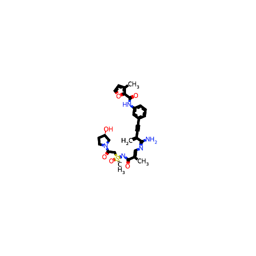 C=C(C#Cc1cccc(NC(=O)c2occc2C)c1)/C(N)=N\C=C(/C)C(=O)N=S(C)(=O)CC(=O)N1CC[C@H](O)C1